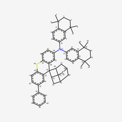 CC1(C)CCC(C)(C)c2cc(N(c3ccc4c(c3)C(C)(C)CCC4(C)C)c3ccc4c(c3)C3(c5cc(-c6ccccc6)ccc5S4)C4CC5CC6CC3C64C5)ccc21